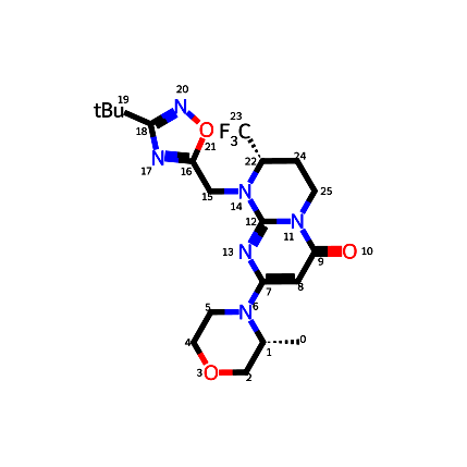 C[C@@H]1COCCN1c1cc(=O)n2c(n1)N(Cc1nc(C(C)(C)C)no1)[C@H](C(F)(F)F)CC2